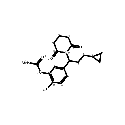 CNC(=O)Oc1cc(C(CCC2CC2)N2C(=O)CCCC2=O)ccc1F